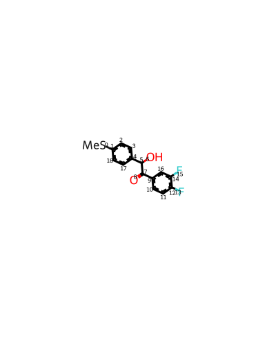 CSc1ccc(C(O)C(=O)c2ccc(F)c(F)c2)cc1